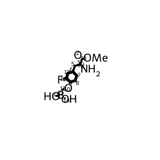 COC(=O)[C@@H](N)Cc1ccc(OCB(O)O)c(F)c1